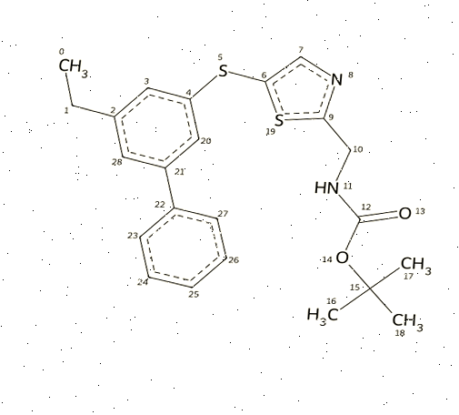 CCc1cc(Sc2cnc(CNC(=O)OC(C)(C)C)s2)cc(-c2ccccc2)c1